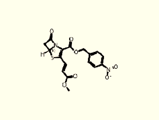 COC(=O)C=CC1=C(C(=O)OCc2ccc([N+](=O)[O-])cc2)N2C(=O)C[C@H]2S1